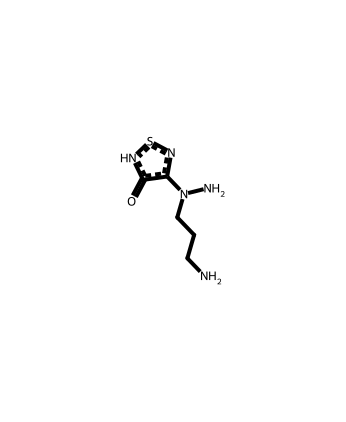 NCCCN(N)c1ns[nH]c1=O